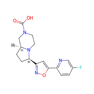 O=C(O)N1CCN2[C@@H](CC[C@@H]2c2cc(-c3ccc(F)cn3)on2)C1